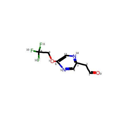 O=CCc1cnc(OCC(F)(F)F)cn1